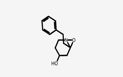 OC1CCN2OC2(CCc2ccccc2)C1